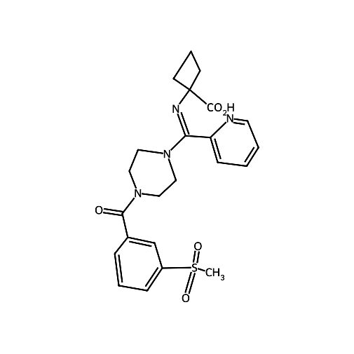 CS(=O)(=O)c1cccc(C(=O)N2CCN(C(=NC3(C(=O)O)CCC3)c3ccccn3)CC2)c1